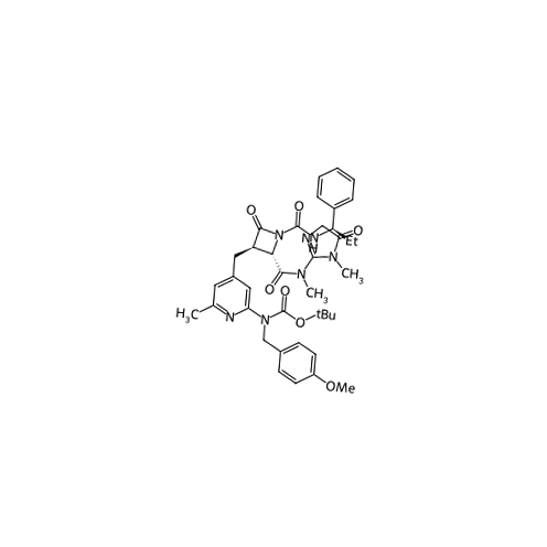 CC[C@@H](NC(=O)N1C(=O)[C@H](Cc2cc(C)nc(N(Cc3ccc(OC)cc3)C(=O)OC(C)(C)C)c2)[C@H]1C(=O)N(C)C1=NCC(=O)N1C)c1ccccc1